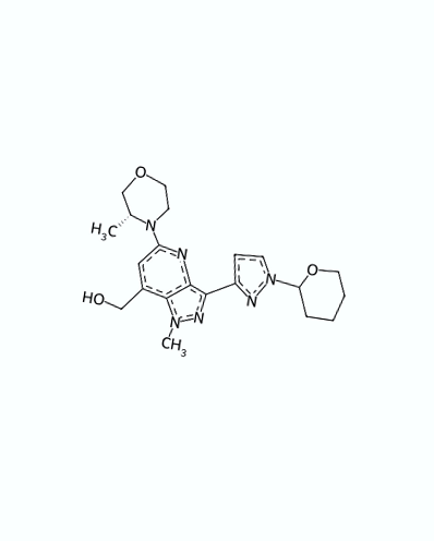 C[C@@H]1COCCN1c1cc(CO)c2c(n1)c(-c1ccn(C3CCCCO3)n1)nn2C